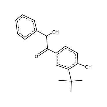 CC(C)(C)c1cc(C(=O)C(O)c2ccccc2)ccc1O